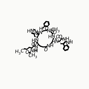 CCCCC(NC(C)=O)C(=O)N[C@H]1CCC(=O)NCC[C@@H](C(=O)N[C@@H](Cc2c[nH]c3ccccc23)C(N)=O)NC(=O)[C@H](C)NC(=O)[C@@H](Cc2ccccc2)NC(=O)[C@H](Cc2c[nH]cn2)NC1=O